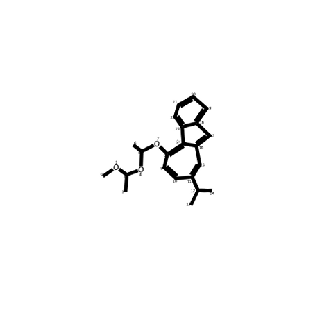 COC(C)OC(C)Oc1ccc(C(C)C)cc2cc3ccccc3c1-2